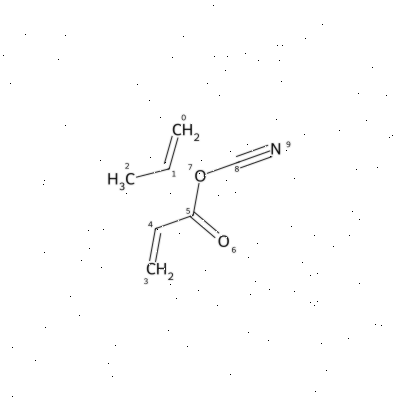 C=CC.C=CC(=O)OC#N